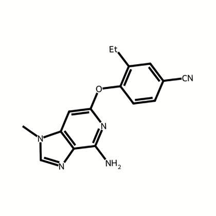 CCc1cc(C#N)ccc1Oc1cc2c(ncn2C)c(N)n1